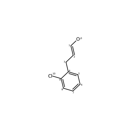 [O]C=CCc1ccccc1Cl